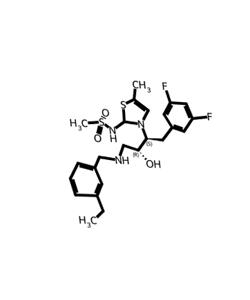 CCc1cccc(CNC[C@@H](O)[C@H](Cc2cc(F)cc(F)c2)N2C=C(C)SC2NS(C)(=O)=O)c1